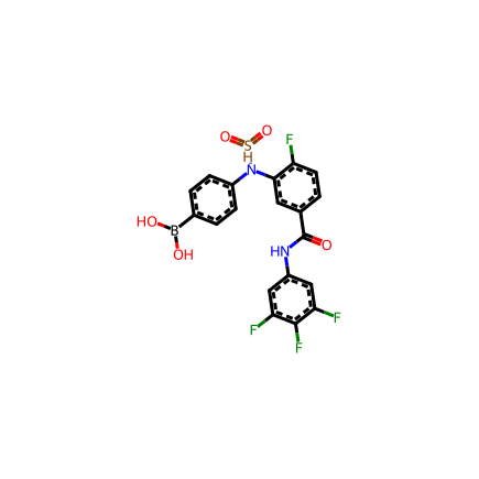 O=C(Nc1cc(F)c(F)c(F)c1)c1ccc(F)c(N(c2ccc(B(O)O)cc2)[SH](=O)=O)c1